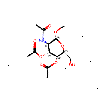 CO[C@@H]1O[C@H](CO)[C@H](OC(C)=O)[C@H](OC(C)=O)[C@H]1NC(C)=O